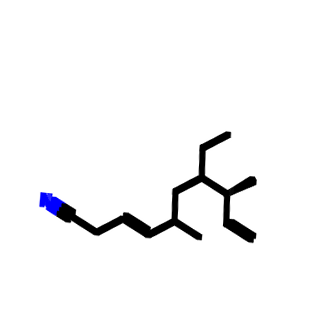 C=C[C@H](C)C(CC)CC(C)/C=C/CC#N